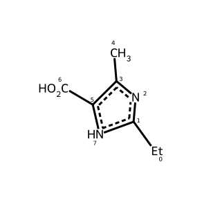 CCc1nc(C)c(C(=O)O)[nH]1